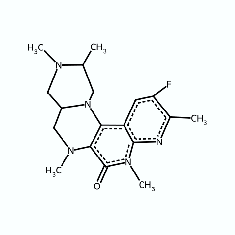 Cc1nc2c(cc1F)c1c(c(=O)n2C)N(C)CC2CN(C)C(C)CN12